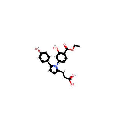 CCOC(=O)c1ccc(-n2c(CCC(=O)O)ccc2-c2ccc(Br)cc2)cc1O